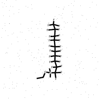 CCO[Si](C)(C)C(F)(F)C(F)(F)C(F)(F)C(F)(F)C(F)(F)C(F)(F)C(F)(F)C(F)(F)C(F)(F)C(F)(F)F